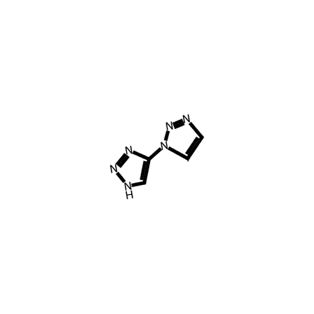 [c]1cnnn1-c1c[nH]nn1